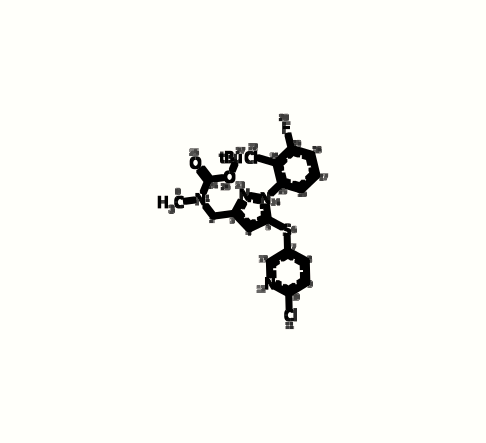 CN(Cc1cc(Sc2ccc(Cl)nc2)n(-c2cccc(F)c2Cl)n1)C(=O)OC(C)(C)C